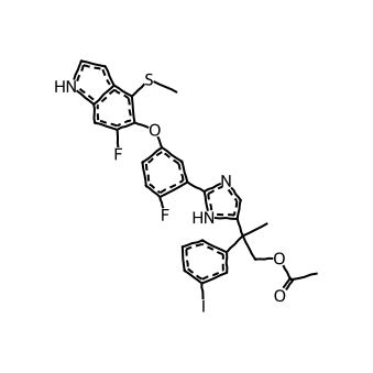 CSc1c(Oc2ccc(F)c(-c3ncc(C(C)(COC(C)=O)c4cccc(I)c4)[nH]3)c2)c(F)cc2[nH]ccc12